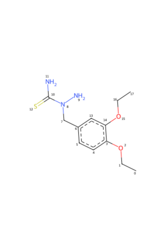 CCOc1ccc(CN(N)C(N)=S)cc1OCC